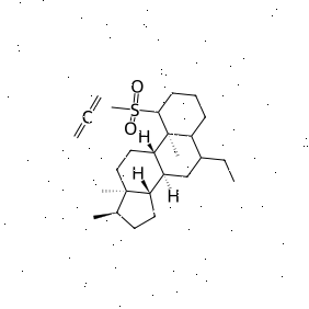 C=C=C.CCC1C[C@@H]2[C@H](CC[C@]3(C)[C@H](C)CC[C@@H]23)[C@]2(C)C1CCCC2S(C)(=O)=O